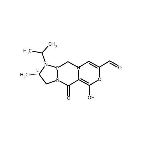 CC(C)N1[C@@H](C)CN2C(=O)C3=C(O)OC(C=O)=CN3CP21